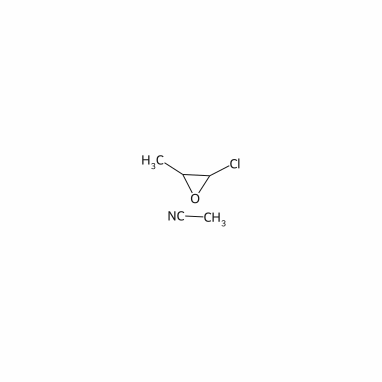 CC#N.CC1OC1Cl